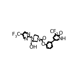 O=C(Oc1cccc(-c2c[nH]c(=O)c(C(F)(F)F)c2)c1)N1CCN(c2ncc(C(F)(F)F)cn2)[C@@H](CO)C1